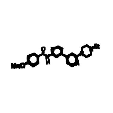 CCN1CCN(c2cc(-c3ccnc(NC(=O)c4ccc(OC)cc4)c3)ccn2)CC1